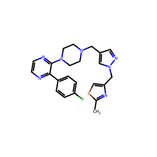 Cc1nc(Cn2cc(CN3CCN(c4nccnc4-c4ccc(F)cc4)CC3)cn2)cs1